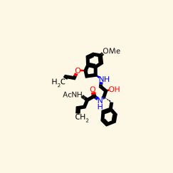 C=CCO[C@@H]1C[C@H](NC[C@@H](O)[C@H](Cc2ccccc2)NC(=O)C(CC=C)NC(C)=O)c2cc(OC)ccc21